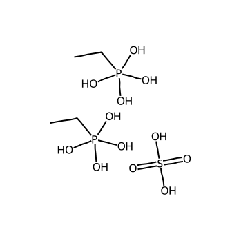 CCP(O)(O)(O)O.CCP(O)(O)(O)O.O=S(=O)(O)O